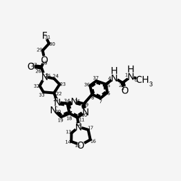 CNC(=O)Nc1ccc(-c2nc(N3CCOCC3)c3cnn(C4CCN(C(=O)OCCF)CC4)c3n2)cc1